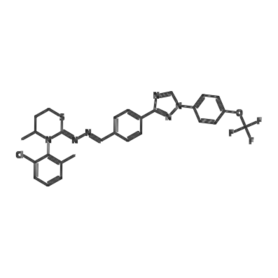 Cc1cccc(Cl)c1N1/C(=N/N=C/c2ccc(-c3ncn(-c4ccc(OC(F)(F)F)cc4)n3)cc2)SCCC1C